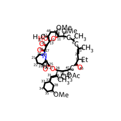 CC[C@@H]1/C=C(\C)C[C@H](C)C[C@H](OC)[C@H]2O[C@@](O)(C(=O)C(=O)N3CCCC[C@H]3C(=O)O[C@H](/C(C)=C/C3CCC[C@H](OC)C3)[C@@H](C)[C@@H](OC(C)=O)CC1=O)[C@H](C)C[C@@H]2OC